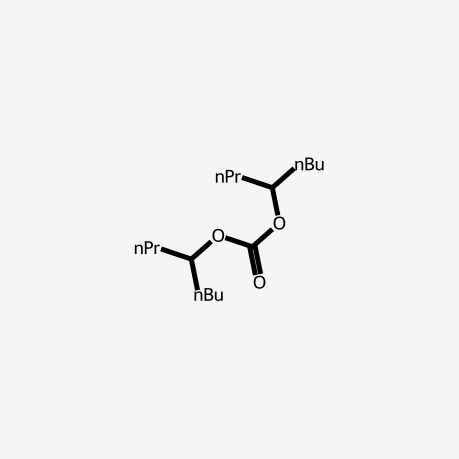 CCCCC(CCC)OC(=O)OC(CCC)CCCC